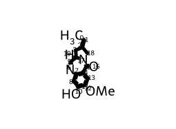 C/C=C1\C[C@H]2C=Nc3cc(O)c(OC)cc3C(=O)N2C1